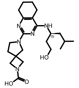 CC(C)C[C@@H](CCO)Nc1nc(N2CCC3(CN(C(=O)O)C3)C2)nc2c1CCCC2